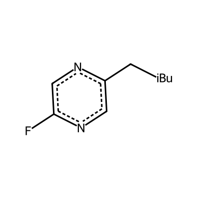 CCC(C)Cc1cnc(F)cn1